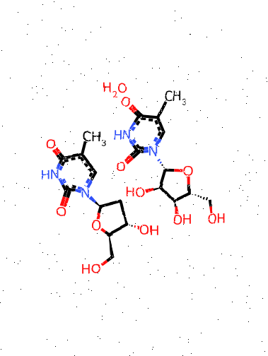 Cc1cn([C@@H]2O[C@H](CO)[C@@H](O)[C@H]2O)c(=O)[nH]c1=O.Cc1cn([C@H]2C[C@H](O)[C@@H](CO)O2)c(=O)[nH]c1=O.O